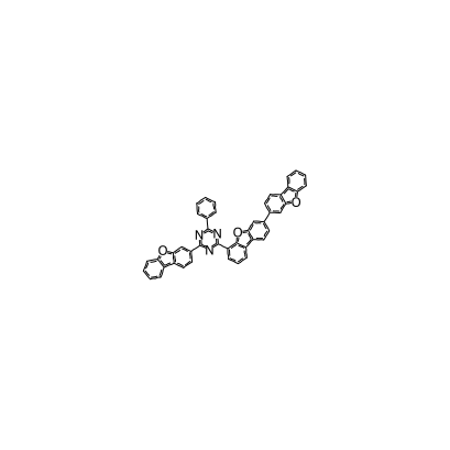 c1ccc(-c2nc(-c3ccc4c(c3)oc3ccccc34)nc(-c3cccc4c3oc3cc(-c5ccc6c(c5)oc5ccccc56)ccc34)n2)cc1